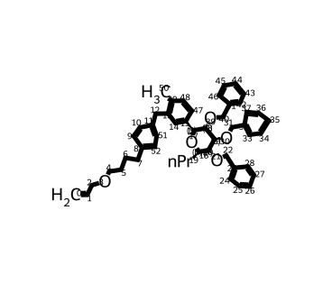 C=CCOCCCCc1ccc(Cc2cc([C@@H]3O[C@H](CCC)[C@@H](OCc4ccccc4)[C@H](OCc4ccccc4)[C@H]3OCc3ccccc3)ccc2C)cc1